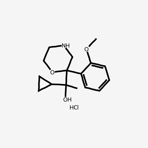 COc1ccccc1C1(C(C)(O)C2CC2)CNCCO1.Cl